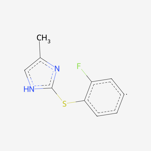 Cc1c[nH]c(Sc2cc[c]cc2F)n1